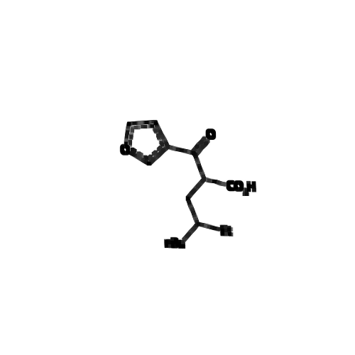 CCCCC(CC)CC(C(=O)O)C(=O)c1ccoc1